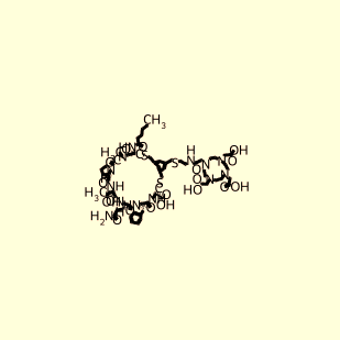 CCCCCC(=O)N[C@H]1CSCc2cc(CSCCNC(=O)CN3CCN(CC(=O)O)CCN(CC(=O)O)CCN(CC(=O)O)CC3)cc(c2)CSC[C@@H](C(=O)O)NC(=O)[C@H](Cc2ccccc2)NC(=O)[C@H](CCC(N)=O)NC(=O)[C@H]([C@@H](C)O)NC(=O)[C@@H]2CCCN2C(=O)CN(C)C1=O